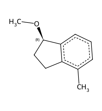 CO[C@@H]1CCc2c(C)cccc21